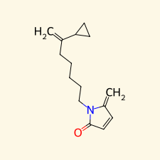 C=C(CCCCCN1C(=C)C=CC1=O)C1CC1